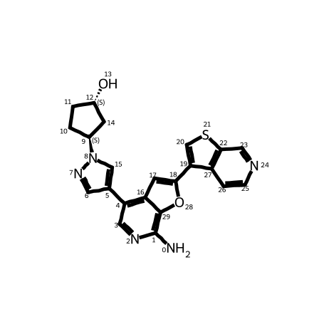 Nc1ncc(-c2cnn([C@H]3CC[C@H](O)C3)c2)c2cc(-c3csc4cnccc34)oc12